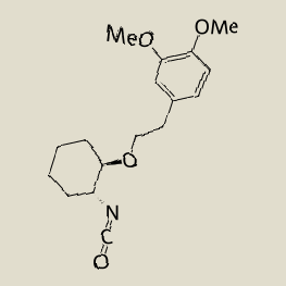 COc1ccc(CCO[C@@H]2CCCC[C@H]2N=C=O)cc1OC